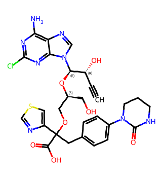 C#C[C@@H](O)[C@@H](O[C@@H](CO)COC(Cc1ccc(N2CCCNC2=O)cc1)(C(=O)O)c1cscn1)n1cnc2c(N)nc(Cl)nc21